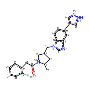 CC1CC(Cn2cnc3cc(-c4cn[nH]c4)ccc32)CN1C(=O)Cc1ccccc1F